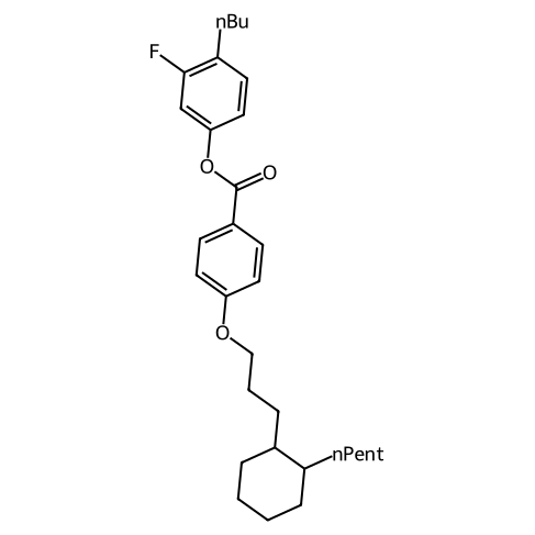 CCCCCC1CCCCC1CCCOc1ccc(C(=O)Oc2ccc(CCCC)c(F)c2)cc1